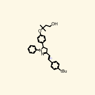 CC(C)(CCO)Oc1ccc(C2CC(/C=C/c3ccc(C(C)(C)C)cc3)=NN2c2ccccc2)cc1